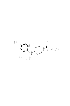 CC(C)(C)OC(=O)N1CC[C@@H](Nc2ccc(Br)cc2[N+](=O)[O-])[C@H](O)C1